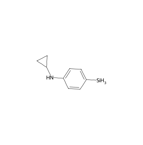 [SiH3]c1ccc(NC2CC2)cc1